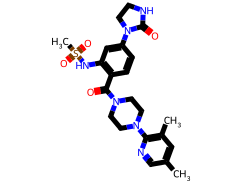 Cc1cnc(N2CCN(C(=O)c3ccc(N4CCNC4=O)cc3NS(C)(=O)=O)CC2)c(C)c1